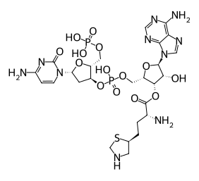 Nc1ccn([C@H]2C[C@H](OP(=O)(O)OC[C@@H]3O[C@@H](n4cnc5c(N)ncnc54)[C@H](O)[C@@H]3OC(=O)[C@H](N)CC[C@H]3CNCS3)[C@@H](COP(=O)(O)O)O2)c(=O)n1